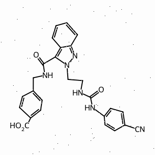 N#Cc1ccc(NC(=O)NCCn2nc3ccccc3c2C(=O)NCc2ccc(C(=O)O)cc2)cc1